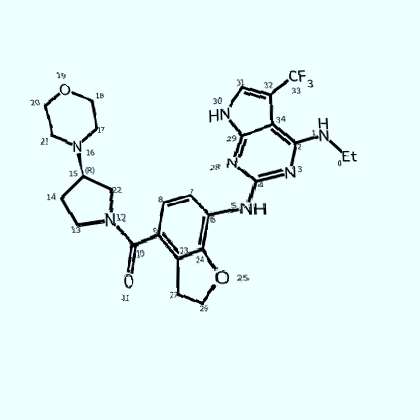 CCNc1nc(Nc2ccc(C(=O)N3CC[C@@H](N4CCOCC4)C3)c3c2OCC3)nc2[nH]cc(C(F)(F)F)c12